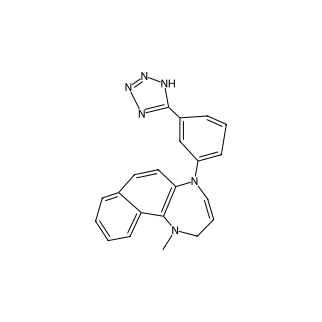 CN1CC=CN(c2cccc(-c3nnn[nH]3)c2)c2ccc3ccccc3c21